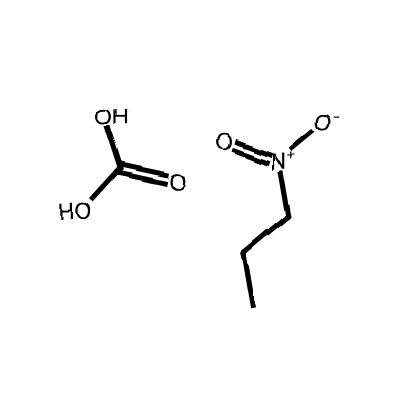 CCC[N+](=O)[O-].O=C(O)O